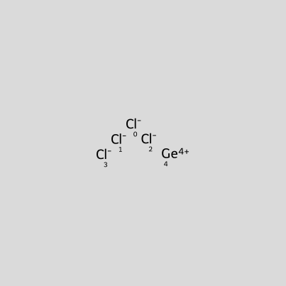 [Cl-].[Cl-].[Cl-].[Cl-].[Ge+4]